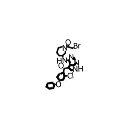 O=C(c1ccc(Oc2ccccc2)cc1Cl)c1c[nH]c2ncnc(NC3CCCCN(C(=O)CBr)C3)c12